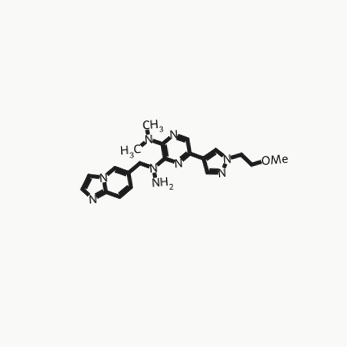 COCCn1cc(-c2cnc(N(C)C)c(N(N)Cc3ccc4nccn4c3)n2)cn1